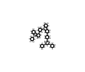 c1ccc(-c2cc(-c3ccccc3)nc(-c3ccc(-c4ccc5c6ccccc6n(-c6cccc(-c7cccc8c7c7ccccc7n8-c7ccccc7)c6)c5c4)cc3)n2)cc1